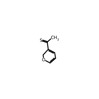 CC(=S)C1=CC=COC1